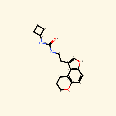 O=C(NCCc1coc2ccc3c(c12)CCCO3)NC1CCC1